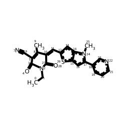 CCN1C(=O)C(C#N)=C(C)/C(=C/c2cc3c(cc(-c4cccnc4)n3C)s2)C1=O